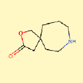 O=C1CC2(CCCNCC2)CO1